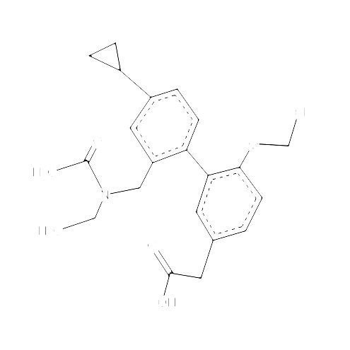 CCOc1ccc(CC(=O)O)cc1-c1ccc(C2CC2)cc1CN(CC)C(C)=O